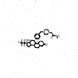 CNC(=O)CN1CCN(Cc2ccc([C@H]3C[C@@]4(C)C(CC[C@@]4(O)C(F)(F)C(F)(F)F)C4CCC5=CC(=O)CCC5=C43)cc2)CC1